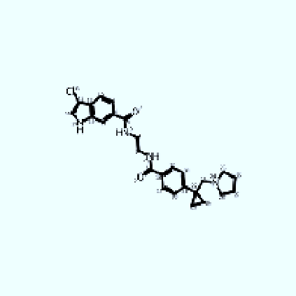 O=C(NCCNC(=O)c1ccc2c(Cl)c[nH]c2c1)c1ccc(C2(CN3CCCC3)CC2)cc1